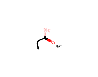 [BH3-]C(=O)CC.[Na+]